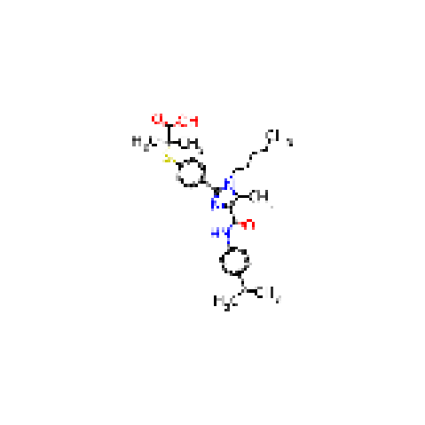 CCCCCn1c(-c2ccc(SC(C)(C)C(=O)O)cc2)nc(C(=O)Nc2ccc(C(C)C)cc2)c1C